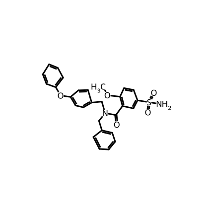 COc1ccc(S(N)(=O)=O)cc1C(=O)N(Cc1ccccc1)Cc1ccc(Oc2ccccc2)cc1